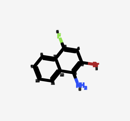 Nc1c(Br)cc(F)c2ccccc12